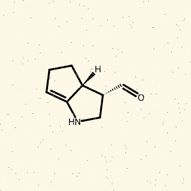 O=C[C@@H]1CNC2=CCC[C@@H]21